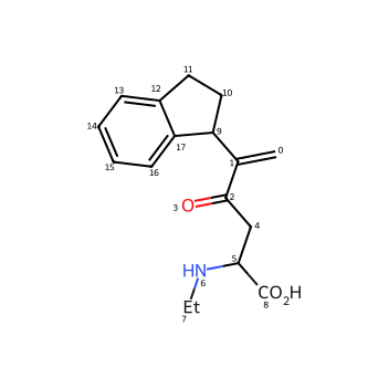 C=C(C(=O)CC(NCC)C(=O)O)C1CCc2ccccc21